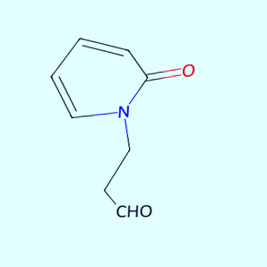 O=CCCn1ccccc1=O